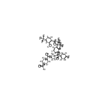 COc1cc(C(F)(F)F)ccc1COC(c1ccc([C@]2(S(=O)(=O)c3ccc(F)cc3)CCN(C(=O)N3CCN(C(C)=O)CC3)C2)cc1)(C(F)(F)F)C(F)(F)F